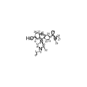 C=CCN1C[C@H](C)N(C(c2ccc(C(=O)N(CC)CC)cc2)c2cc(O)ccc2F)C[C@H]1C